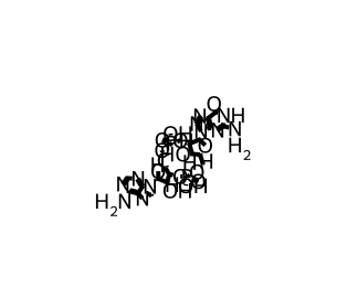 Nc1nc2c(nnn2[C@@H]2O[C@@H]3COP(=O)(O)O[C@H]4[C@@H](O)[C@H](n5cnc6c(N)ncnc65)O[C@@H]4COP(=O)(O)O[C@@H]2[C@@H]3O)c(=O)[nH]1